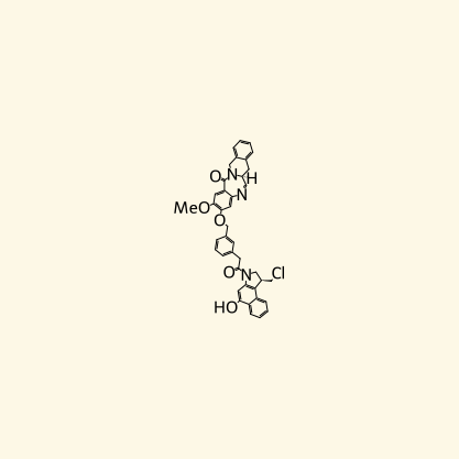 COc1cc2c(cc1OCc1cccc(CC(=O)N3C[C@@H](CCl)c4c3cc(O)c3ccccc43)c1)N=C[C@@H]1Cc3ccccc3CN1C2=O